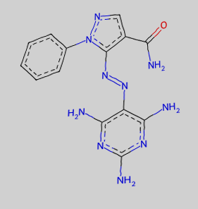 NC(=O)c1cnn(-c2ccccc2)c1N=Nc1c(N)nc(N)nc1N